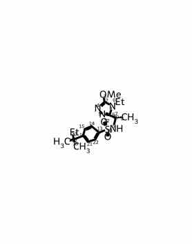 CCn1c(OC)nnc1[C@@H](C)NS(=O)(=O)c1ccc(C(C)(C)CC)cc1